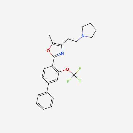 Cc1oc(-c2ccc(-c3ccccc3)cc2OC(F)(F)F)nc1CCN1CCCC1